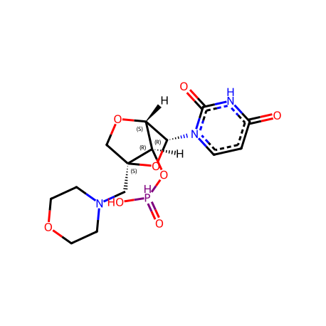 O=c1ccn([C@@H]2O[C@@]3(CN4CCOCC4)CO[C@H]2[C@H]3O[PH](=O)O)c(=O)[nH]1